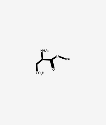 CC(=O)NC(CC(=O)O)C(=O)OC(C)(C)C